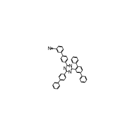 N#Cc1cccc(-c2ccc(-c3nc(-c4ccc(-c5ccccc5)cc4)nc(-c4cc(-c5ccccc5)ccc4-c4ccccc4)n3)cc2)c1